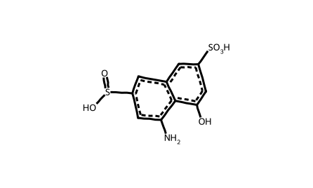 Nc1cc(S(=O)O)cc2cc(S(=O)(=O)O)cc(O)c12